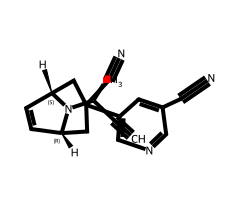 C#CC(C)N1[C@@H]2C=C[C@H]1CC(C#N)(c1cncc(C#N)c1)C2